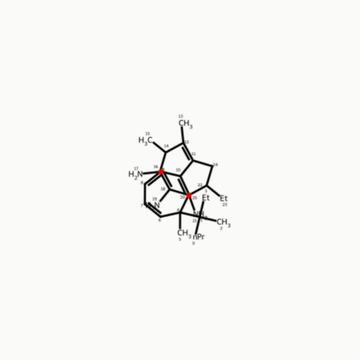 CCCC(C)(CC)C1(C)C=CC=CC(/C2=C(/C)C(C)/C(N)=C(/N)C(N)C(CC)C2)=C1